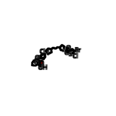 O=C(O)C1CCCCN1S(=O)(=O)c1ccc(N2CCC(CCCC3CCN(S(=O)(=O)c4cc(Br)c(Cl)s4)CC3)CC2)c(Cl)c1